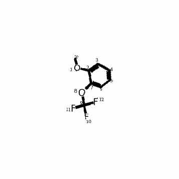 [CH2]Oc1ccccc1OC(F)(F)F